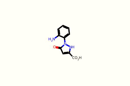 Nc1ccccc1-n1[nH]c(C(=O)O)cc1=O